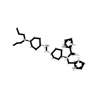 CCCN(CCC)[C@H]1CC[C@H](NC[C@H]2CC[C@H](N(Cc3ncc[nH]3)C(=O)c3ncc[nH]3)CC2)CC1